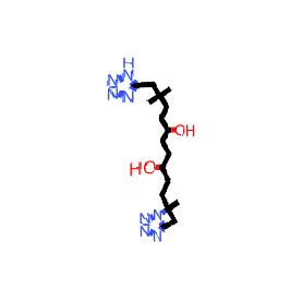 CC(C)(CCC(O)CCC(O)CCC1(C)Cc2nnnn21)Cc1nnn[nH]1